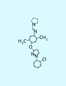 Cc1cc(Oc2ccn(-c3ccccc3Cl)n2)c(C)cc1/N=C/N1CCCC1